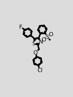 CS(=O)(=O)c1ccccc1-c1nc(COc2ccc(Cl)cc2)sc1-c1ccc(F)cc1